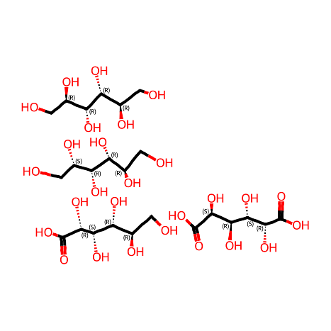 O=C(O)[C@@H](O)[C@H](O)[C@H](O)[C@@H](O)C(=O)O.O=C(O)[C@H](O)[C@@H](O)[C@H](O)[C@H](O)CO.OC[C@@H](O)[C@@H](O)[C@H](O)[C@@H](O)CO.OC[C@@H](O)[C@@H](O)[C@H](O)[C@H](O)CO